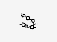 Cc1ccc(NCC2CCN(C)CC2)cc1Nc1nc(-c2ccc(-n3ccnc3)cc2)cs1